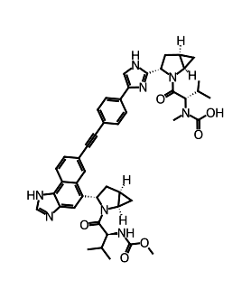 COC(=O)N[C@H](C(=O)N1[C@@H]2C[C@@H]2C[C@H]1c1cc2nc[nH]c2c2ccc(C#Cc3ccc(-c4c[nH]c([C@@H]5C[C@H]6C[C@H]6N5C(=O)[C@H](C(C)C)N(C)C(=O)O)n4)cc3)cc12)C(C)C